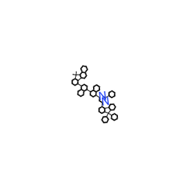 CC1(C)c2cccc(-c3ccc(-c4ccc(-c5cc(-c6cccc7c6-c6ccccc6C7(c6ccccc6)c6ccccc6)nc(-c6ccccc6)n5)c5ccccc45)c4ccccc34)c2-c2ccc3ccccc3c21